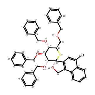 CCc1cc2c(c3ccccc13)CO[C@]21S[C@H](COCc2ccccc2)[C@@H](OCc2ccccc2)[C@H](OCc2ccccc2)[C@H]1OCc1ccccc1